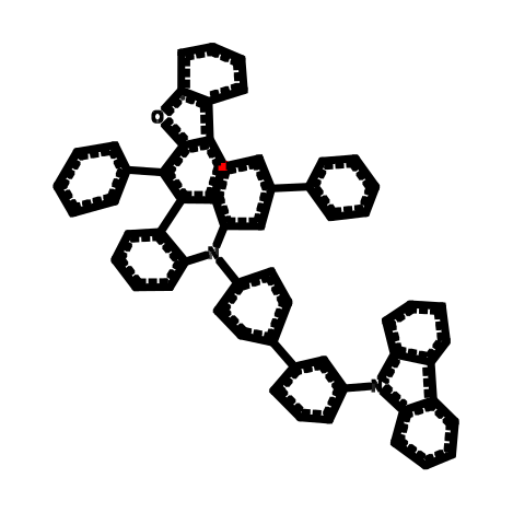 c1ccc(-c2cccc(N(c3ccc(-c4cccc(-n5c6ccccc6c6ccccc65)c4)cc3)c3ccccc3-c3ccc4c(oc5ccccc54)c3-c3ccccc3)c2)cc1